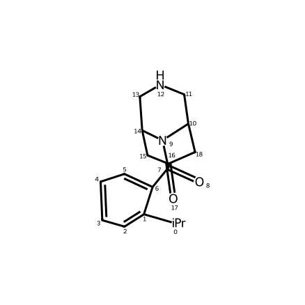 CC(C)c1ccccc1C(=O)N1C2CNCC1CC(=O)C2